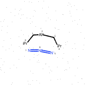 CC(C)[CH2][Al+][CH2]C(C)C.[N-]=[N+]=[N-]